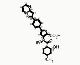 CC(C)N(C(=O)[C@H]1CC[C@H](C)C[C@H]1O)c1cc(-c2ccc(-c3cc4ncccn4n3)cc2)sc1C(=O)O